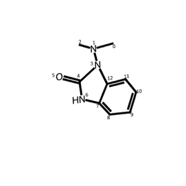 CN(C)n1c(=O)[nH]c2ccccc21